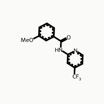 COc1cccc(C(=O)Nc2cc(C(F)(F)F)ccn2)c1